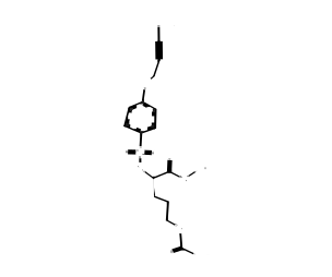 CC#CCOc1ccc(S(=O)(=O)N[C@H](CCCNC(=O)CCC)C(=O)NO)cc1